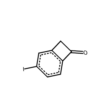 O=C1Cc2cc(I)ccc21